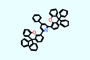 C1=CC(C2(c3ccccc3)c3ccccc3Oc3c(-c4cc(-c5ccccc5)cc(-c5cccc6c5Oc5ccccc5C6(c5ccccc5)c5ccccc5)n4)cccc32)=CCC1